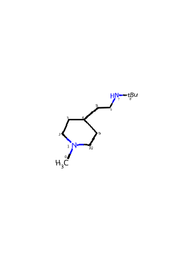 CN1CCC(CCNC(C)(C)C)CC1